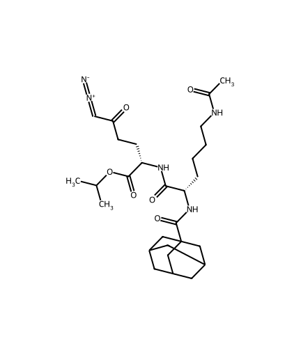 CC(=O)NCCCC[C@H](NC(=O)C12CC3CC(CC(C3)C1)C2)C(=O)N[C@@H](CCC(=O)C=[N+]=[N-])C(=O)OC(C)C